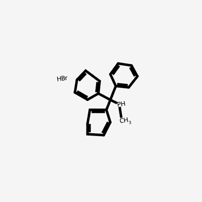 Br.CPC(c1ccccc1)(c1ccccc1)c1ccccc1